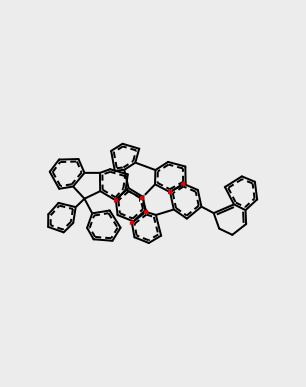 C1=c2ccccc2=C(c2cccc(-c3ccccc3N(c3ccc4c(c3)C(c3ccccc3)(c3ccccc3)c3ccccc3-4)c3ccccc3-c3ccccc3-c3ccccc3)c2)CC1